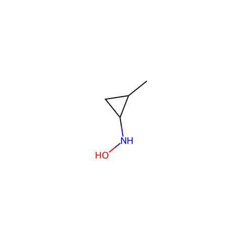 CC1CC1NO